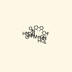 COc1cc(-c2cccc(-c3cccc(NC(=O)c4c[nH]c(=O)n(C)c4=O)c3C)c2C)cc(F)c1CNCC1(O)CC1